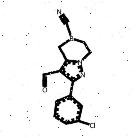 N#CB1CCn2nc(-c3cccc(Cl)c3)c(C=O)c2C1